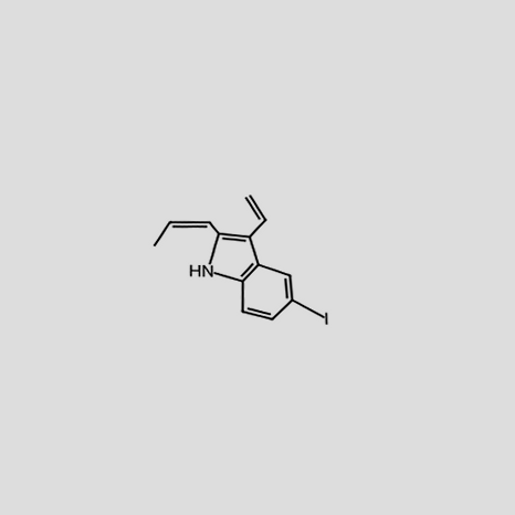 C=Cc1c(/C=C\C)[nH]c2ccc(I)cc12